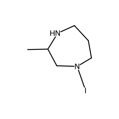 CC1CN(I)CCCN1